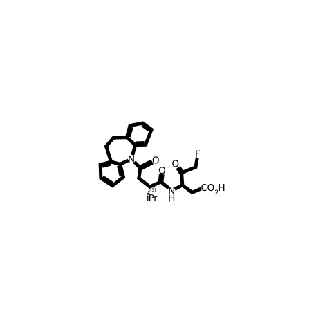 CC(C)[C@H](CC(=O)N1c2ccccc2CCc2ccccc21)C(=O)NC(CC(=O)O)C(=O)CF